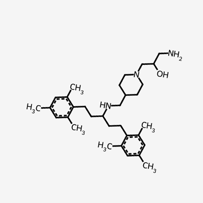 Cc1cc(C)c(CCC(CCc2c(C)cc(C)cc2C)NCC2CCN(CC(O)CN)CC2)c(C)c1